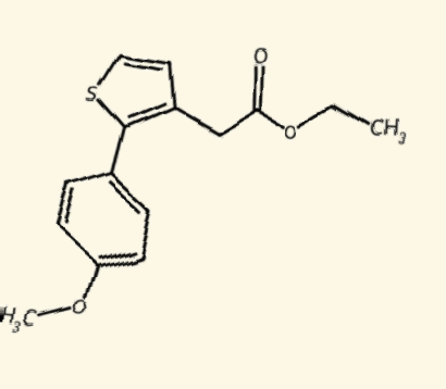 CCOC(=O)Cc1ccsc1-c1ccc(OC)cc1